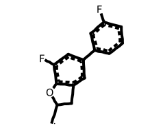 [CH2]C1Cc2cc(-c3cccc(F)c3)cc(F)c2O1